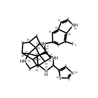 Fc1cc(NC2NC(c3cncs3)NC3CNC4(C5CC6CC7C8CC9CC5C98C674)C32)cc2cc[nH]c12